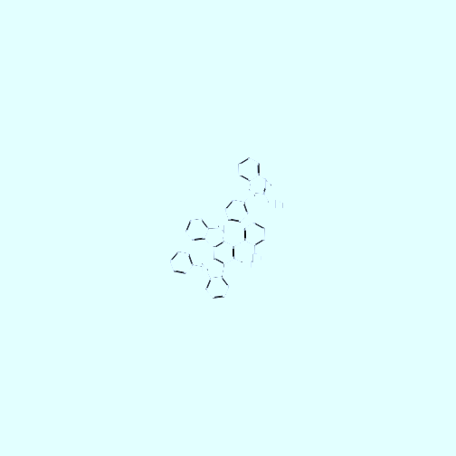 CCCc1nc2ccccc2n1-c1ccc(-n2c3ccccc3c3c2c(-c2ccccc2CC)c(CC)c2c4ccccc4n(-c4ccccc4)c23)cc1